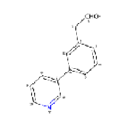 O=[C]Cc1cccc(-c2cccnc2)c1